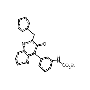 CCOC(=O)Nc1cccc(-n2c(=O)c(Cc3ccccc3)nc3cccnc32)c1